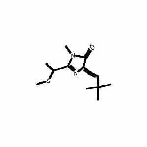 CSC(C)C1=N/C(=C\C(C)(C)C)C(=O)N1C